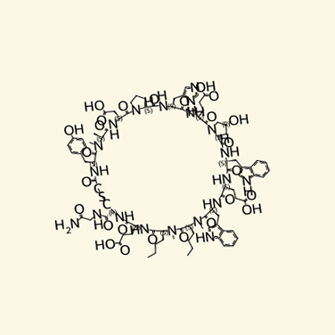 CCCC[C@H]1C(=O)N(C)[C@@H](CCCC)C(=O)N[C@@H](CCC(=O)O)C(=O)N[C@H](C(=O)NCC(N)=O)CSCC(=O)N[C@@H](Cc2ccc(O)cc2)C(=O)N(C)[C@@H](C)C(=O)N[C@@H](CC(=O)O)C(=O)N2CCC[C@H]2C(=O)N[C@@H](Cc2cnc[nH]2)C(=O)N[C@@H](CCC(=O)O)C(=O)N2C[C@H](O)C[C@H]2C(=O)N[C@@H](Cc2c[nH]c3ccccc23)C(=O)N[C@@H](CCC(=O)O)C(=O)N[C@@H](Cc2c[nH]c3ccccc23)C(=O)N1C